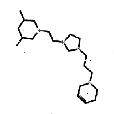 CC1CC(C)CN(CCN2CCN(CCCN3CC=CCC3)C2)C1